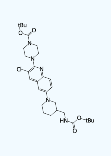 CC(C)(C)OC(=O)NCC1CCCN(c2ccc3nc(N4CCN(C(=O)OC(C)(C)C)CC4)c(Cl)cc3c2)C1